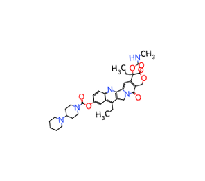 CCc1c2c(nc3ccc(OC(=O)N4CCC(N5CCCCC5)CC4)cc13)-c1cc3c(c(=O)n1C2)COC(=O)[C@@]3(CC)OC(=O)NC